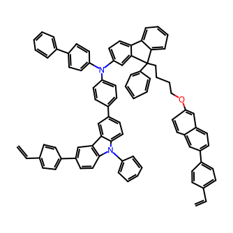 C=Cc1ccc(-c2ccc3cc(OCCCCC4(c5ccccc5)c5ccccc5-c5ccc(N(c6ccc(-c7ccccc7)cc6)c6ccc(-c7ccc8c(c7)c7cc(-c9ccc(C=C)cc9)ccc7n8-c7ccccc7)cc6)cc54)ccc3c2)cc1